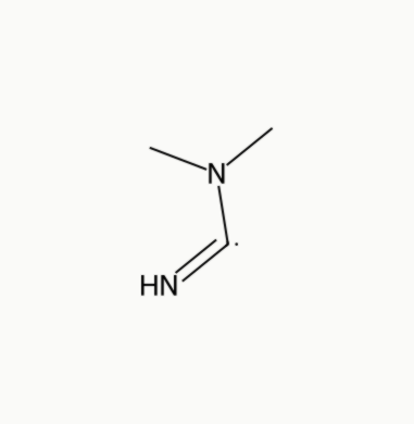 CN(C)[C]=N